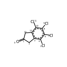 O=C1Cc2c(Cl)c(Cl)c(Cl)c(Cl)c2C1